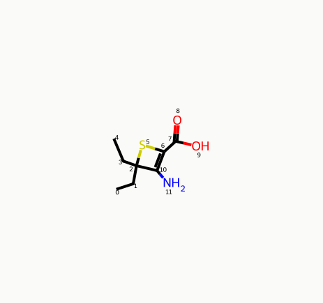 CCC1(CC)SC(C(=O)O)=C1N